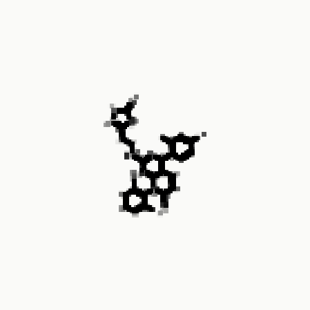 Cc1cc(F)ccc1-c1nc(NCCc2noc(=O)[nH]2)nc2c1ccc(=O)n2-c1c(F)cccc1F